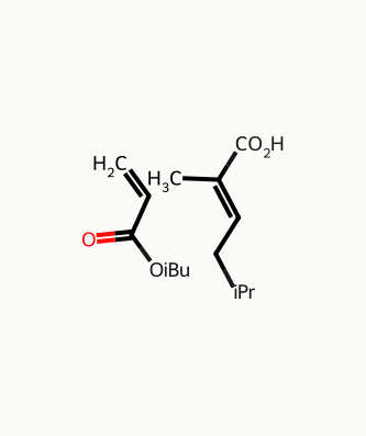 C=CC(=O)OCC(C)C.CC(=CCC(C)C)C(=O)O